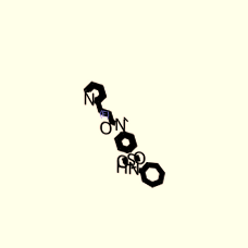 CN(C(=O)/C=C/c1ccccn1)c1ccc(S(=O)(=O)NC2CCCCCC2)cc1